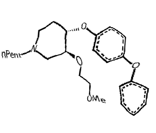 CCCCCN1CC[C@H](Oc2ccc(Oc3ccccc3)cc2)[C@@H](OCCOC)C1